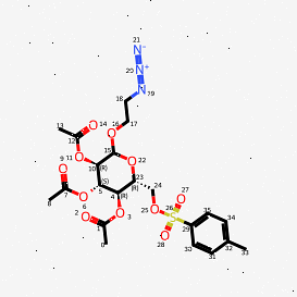 CC(=O)O[C@H]1[C@H](OC(C)=O)[C@@H](OC(C)=O)C(OCCN=[N+]=[N-])O[C@@H]1COS(=O)(=O)c1ccc(C)cc1